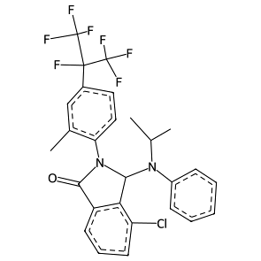 Cc1cc(C(F)(C(F)(F)F)C(F)(F)F)ccc1N1C(=O)c2cccc(Cl)c2C1N(c1ccccc1)C(C)C